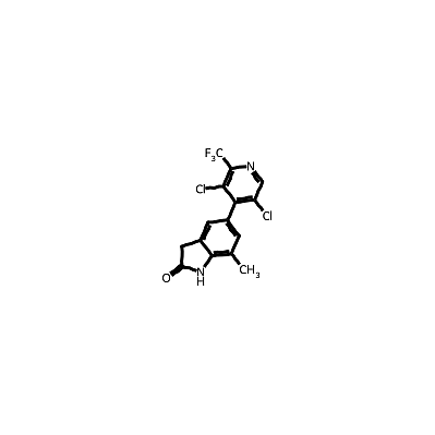 Cc1cc(-c2c(Cl)cnc(C(F)(F)F)c2Cl)cc2c1NC(=O)C2